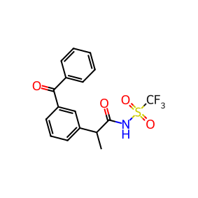 CC(C(=O)NS(=O)(=O)C(F)(F)F)c1cccc(C(=O)c2ccccc2)c1